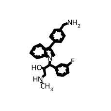 CNCC(O)C(c1cccc(F)c1)n1cc(-c2ccc(CN)cc2)c2ccccc21